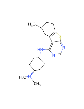 CC1CCc2sc3ncnc(N[C@H]4CC[C@H](N(C)C)CC4)c3c2C1